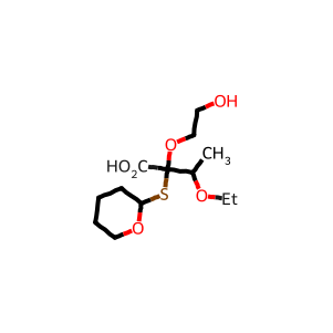 CCOC(C)C(OCCO)(SC1CCCCO1)C(=O)O